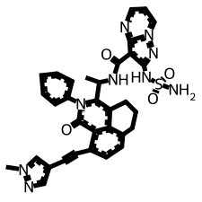 CC(NC(=O)c1c(NS(N)(=O)=O)nn2cccnc12)c1c2c3c(ccc(C#Cc4cnn(C)c4)c3c(=O)n1-c1ccccc1)CCC2